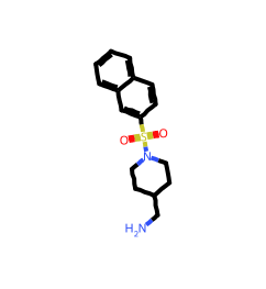 NCC1CCN(S(=O)(=O)c2ccc3ccccc3c2)CC1